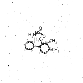 Cc1ccc(-c2ccccc2)c(C)c1C.N[SH](=O)=O